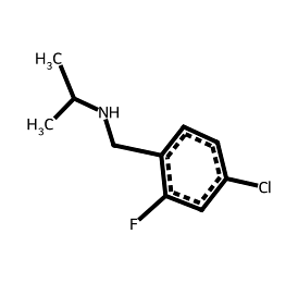 CC(C)NCc1ccc(Cl)cc1F